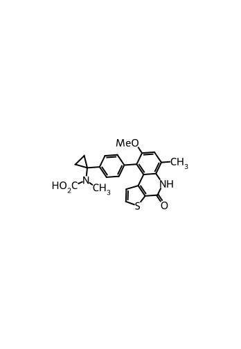 COc1cc(C)c2[nH]c(=O)c3sccc3c2c1-c1ccc(C2(N(C)C(=O)O)CC2)cc1